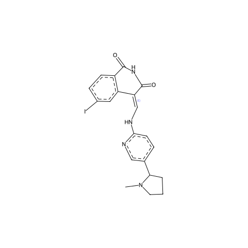 CN1CCCC1c1ccc(N/C=C2/C(=O)NC(=O)c3ccc(I)cc32)nc1